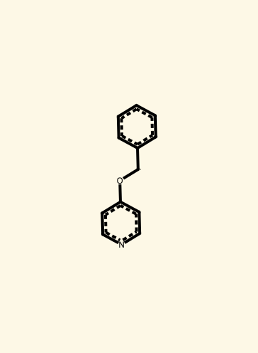 [CH](Oc1ccncc1)c1ccccc1